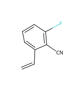 C=Cc1cccc(F)c1C#N